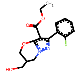 CCOC(=O)c1c(-c2ccccc2F)nn2c1OCC(CO)C2